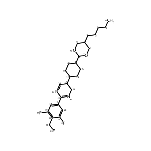 CCCCCC1COC(C2CCC(C3C=NC(c4cc(F)c(CF)c(F)c4)=NC3)CC2)OC1